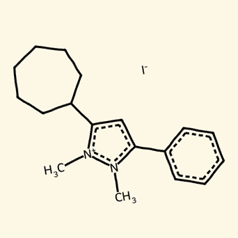 Cn1c(-c2ccccc2)cc(C2CCCCCC2)[n+]1C.[I-]